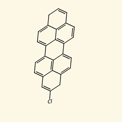 ClC1=Cc2ccc3c4ccc5c6c(ccc(c7ccc(c2c37)C1)c64)C=CC5